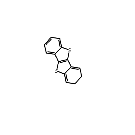 C1=c2sc3c(sc4ccccc43)c2=CCC1